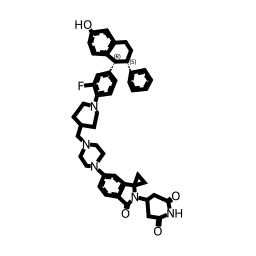 O=C1CC(N2C(=O)c3ccc(N4CCN(CC5CCN(c6ccc([C@@H]7c8ccc(O)cc8CC[C@@H]7c7ccccc7)cc6F)CC5)CC4)cc3C23CC3)CC(=O)N1